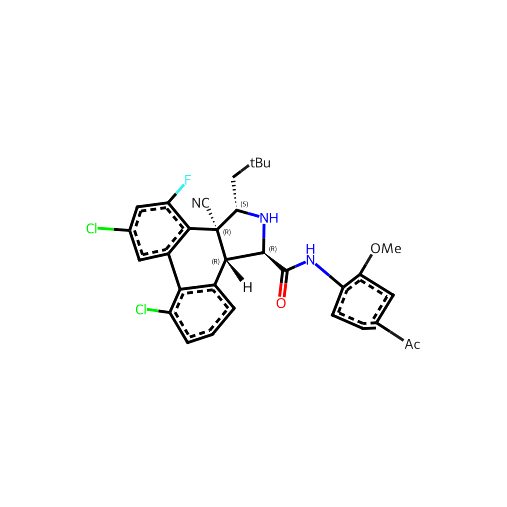 COc1cc(C(C)=O)ccc1NC(=O)[C@@H]1N[C@@H](CC(C)(C)C)[C@]2(C#N)c3c(F)cc(Cl)cc3-c3c(Cl)cccc3[C@@H]12